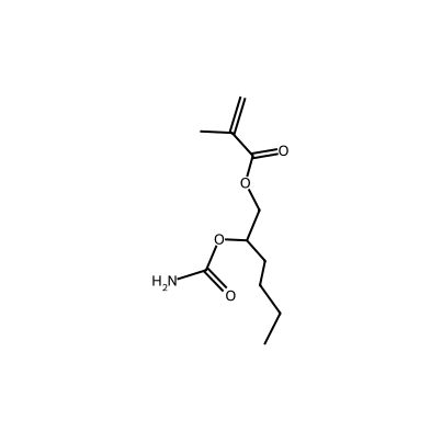 C=C(C)C(=O)OCC(CCCC)OC(N)=O